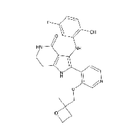 CC1(COc2cnccc2-c2[nH]c3c(c2Nc2cc(F)ccc2O)C(=O)NCC3)CCO1